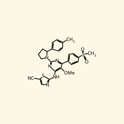 COc1c(Nc2ncc(C#N)s2)nc(N2CCCC2c2ccc(C)cc2)nc1-c1ccc(S(C)(=O)=O)cc1